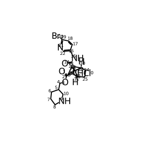 Cl.O=C(OCC1CCCNC1)[C@H]1[C@H](C(=O)Nc2ccc(Br)nc2)[C@@H]2CC[C@H]1C21CC1